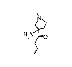 C=CCC(=O)C1(N)CCN(C)C1